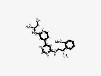 COc1ccccc1[C@H](C)CNc1cc(-c2ccnc(N[C@@H](C)CO)c2)ncn1